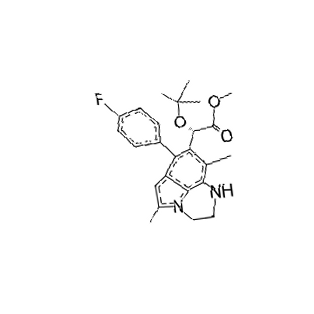 COC(=O)[C@@H](OC(C)(C)C)c1c(C)c2c3c(cc(C)n3CCN2)c1-c1ccc(F)cc1